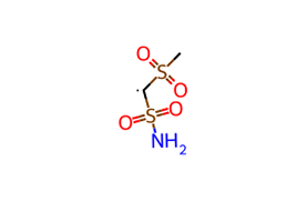 CS(=O)(=O)[CH]S(N)(=O)=O